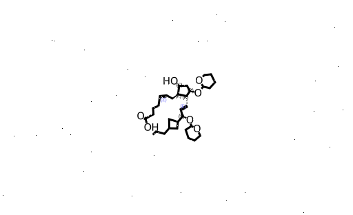 CCCC1CC([C@@H](/C=C/[C@@H]2[C@@H](C/C=C\CCCC(=O)O)[C@@H](O)C[C@H]2OC2CCCCO2)OC2CCCCO2)C1